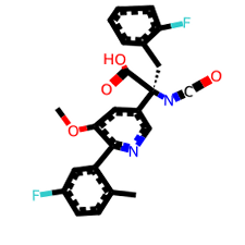 COc1cc([C@](Cc2ccccc2F)(N=C=O)C(=O)O)cnc1-c1cc(F)ccc1C